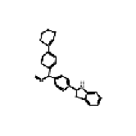 C=NC(C1=CC=C(C2=CCCCC2)CC1)c1ccc(C2Cc3ccccc3N2)cc1